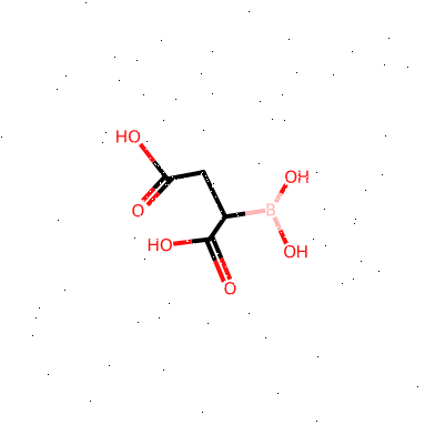 O=C(O)CC(B(O)O)C(=O)O